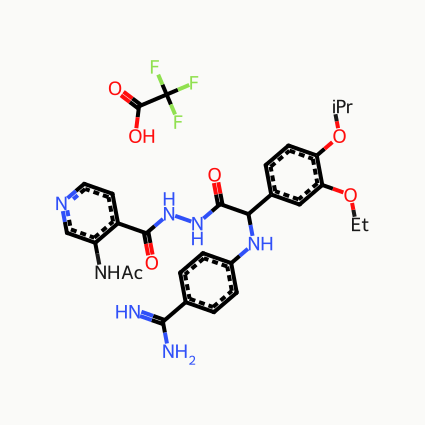 CCOc1cc(C(Nc2ccc(C(=N)N)cc2)C(=O)NNC(=O)c2ccncc2NC(C)=O)ccc1OC(C)C.O=C(O)C(F)(F)F